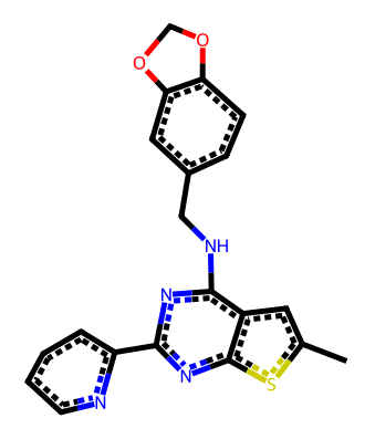 Cc1cc2c(NCc3ccc4c(c3)OCO4)nc(-c3ccccn3)nc2s1